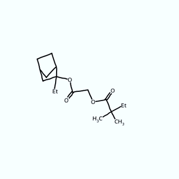 CCC(C)(C)C(=O)OCC(=O)OC1(CC)CC2CCC1C2